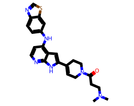 CN(C)CCC(=O)N1CC=C(c2cc3c(Nc4ccc5ncsc5c4)ccnc3[nH]2)CC1